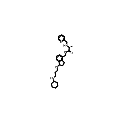 C[C@H](NCc1ccccn1)C(=O)NCc1cccc2c1CCC2NCCCNC1CCCCC1